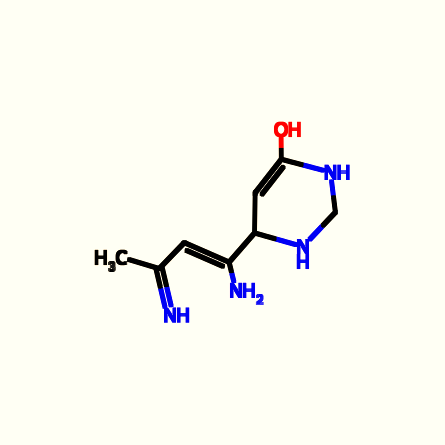 CC(=N)/C=C(\N)C1C=C(O)NCN1